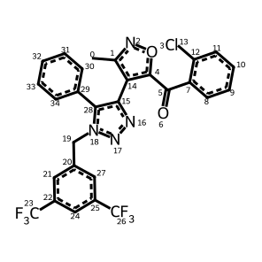 Cc1noc(C(=O)c2ccccc2Cl)c1-c1nnn(Cc2cc(C(F)(F)F)cc(C(F)(F)F)c2)c1-c1ccccc1